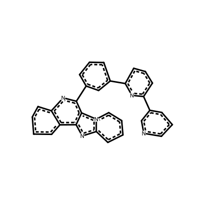 c1cncc(-c2cccc(-c3cccc(-c4nc5ccccc5c5nc6ccccn6c45)c3)n2)c1